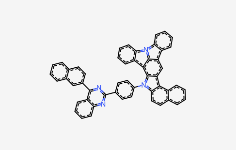 c1ccc2cc(-c3nc(-c4ccc(-n5c6ccc7ccccc7c6c6cc7c8ccccc8n8c9ccccc9c(c65)c78)cc4)nc4ccccc34)ccc2c1